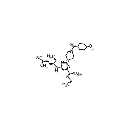 C=C/N=C(\SC)c1cc(N/C(C=C)=C/C=C(\C)C#N)nc(N2CCN([S+]([O-])C3C=CC(OF)CC3)CC2)n1